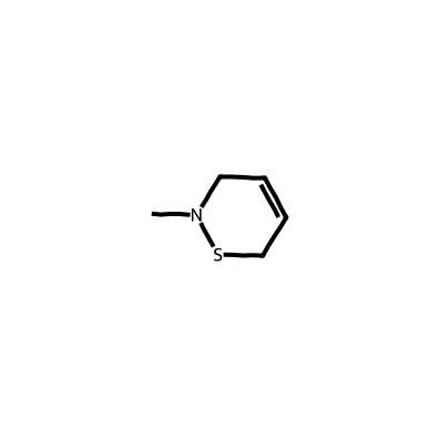 CN1CC=CCS1